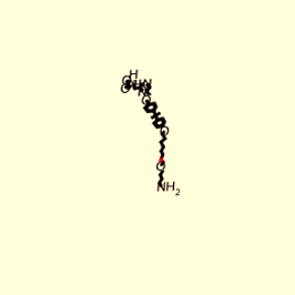 CC(C)(c1ccc(OCCCCCCCCOCCCCN)cc1)c1ccc(OCc2cncc(CN[SH](=O)=O)n2)cc1